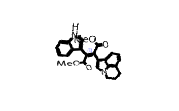 COC(=O)/C(=C(/C(=O)OC)c1cn2c3c(cccc13)CCC2)c1c[nH]c2ccccc12